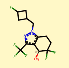 O[C@H]1c2c(C(F)(F)F)nn(CC3CC(F)C3)c2CCC1(F)F